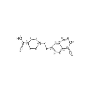 O=C(O)N1CCN(CCc2ccc3c(=O)occc3c2)CC1